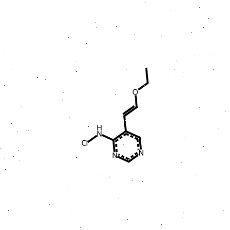 CCO/C=C/c1cncnc1NCl